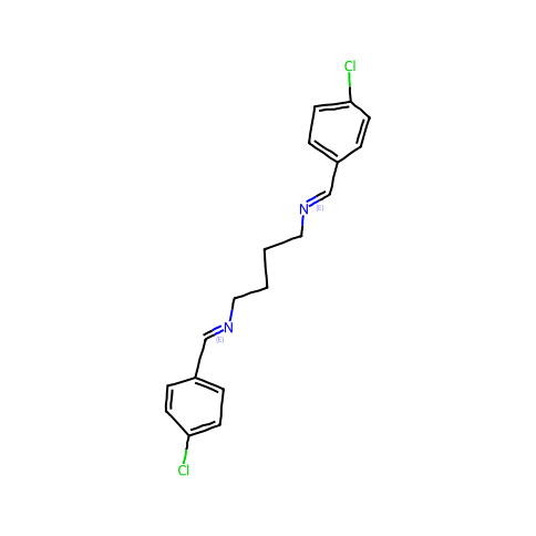 Clc1ccc(/C=N/CCCC/N=C/c2ccc(Cl)cc2)cc1